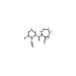 N#Cc1c(F)cccc1Nc1ccccnc1=O